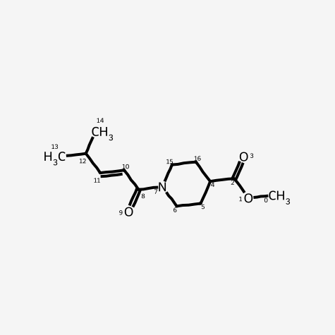 COC(=O)C1CCN(C(=O)/C=C/C(C)C)CC1